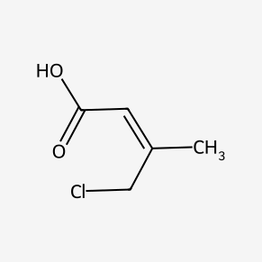 CC(=CC(=O)O)CCl